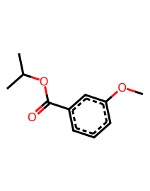 COc1cccc(C(=O)OC(C)C)c1